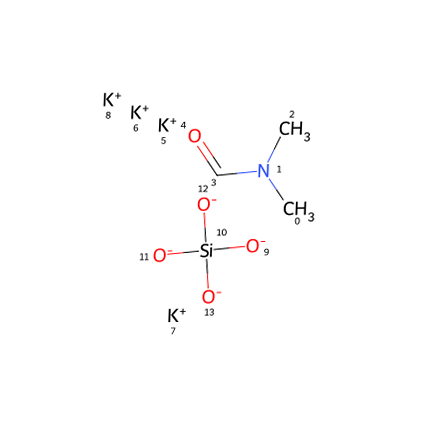 CN(C)C=O.[K+].[K+].[K+].[K+].[O-][Si]([O-])([O-])[O-]